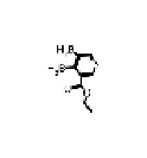 Bc1cncc(C(=O)OCC)c1B